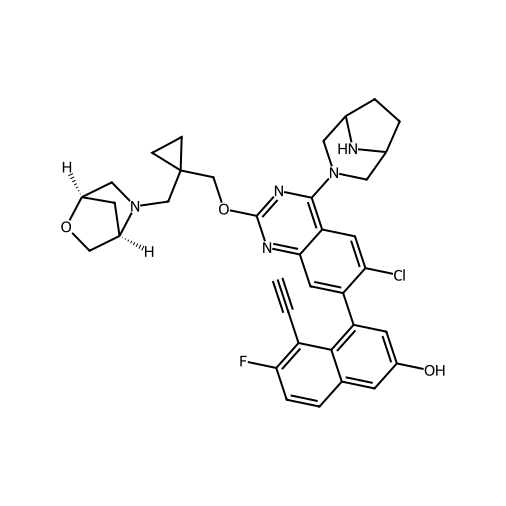 C#Cc1c(F)ccc2cc(O)cc(-c3cc4nc(OCC5(CN6C[C@H]7C[C@@H]6CO7)CC5)nc(N5CC6CCC(C5)N6)c4cc3Cl)c12